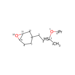 CC(C)O[SiH](C)CCC1CCC2OC2C1